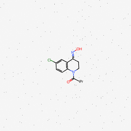 CC(C)C(=O)N1CCC(=NO)c2cc(Cl)ccc21